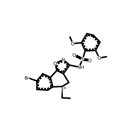 CC[C@@H]1Cc2c(NS(=O)(=O)c3c(OC)cccc3OC)noc2-c2cc(Br)ccc21